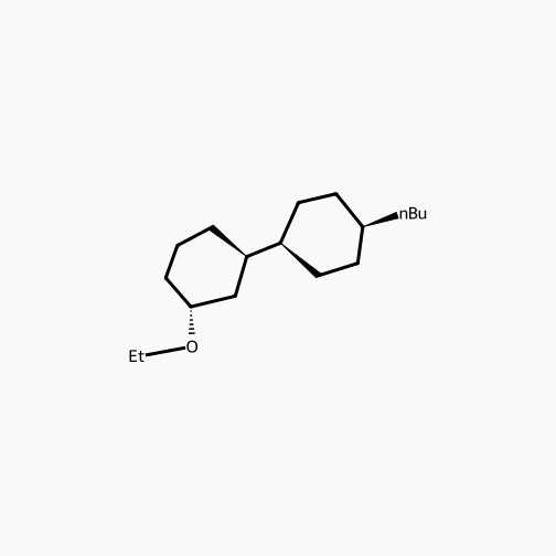 CCCC[C@H]1CC[C@@H]([C@@H]2CCC[C@@H](OCC)C2)CC1